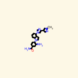 Cn1cc(-c2cn(-c3cccc4c3ccn4-c3ccc(C(N)=O)cc3N)cn2)cn1